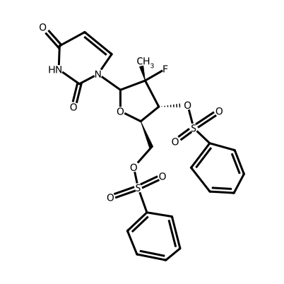 C[C@]1(F)C(n2ccc(=O)[nH]c2=O)O[C@H](COS(=O)(=O)c2ccccc2)[C@H]1OS(=O)(=O)c1ccccc1